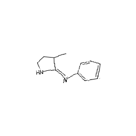 CC1CCNC1=Nc1c[c]ccc1